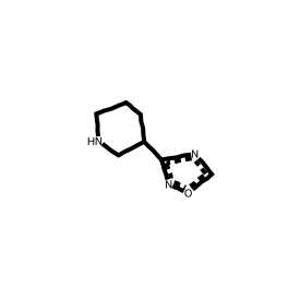 c1nc(C2CCCNC2)no1